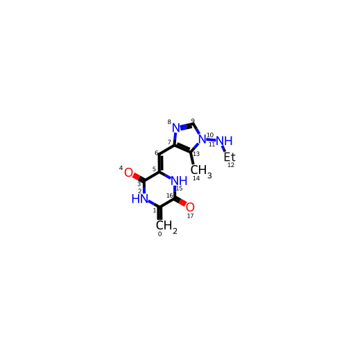 C=c1[nH]c(=O)c(=Cc2ncn(NCC)c2C)[nH]c1=O